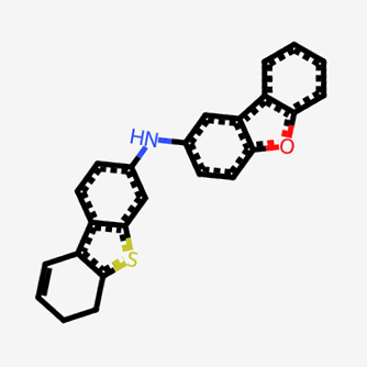 C1=Cc2c(sc3cc(Nc4ccc5oc6ccccc6c5c4)ccc23)CC1